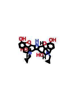 Oc1ccc2c3c1O[C@H]1c4[nH]c5c(c4C[C@@]4(O)[C@@H](C2)N(CC2CC2)CCC314)C[C@@]1(O)[C@H]2Cc3ccc(O)c4c3[C@@]1(CCN2CC1CC1)C5O4